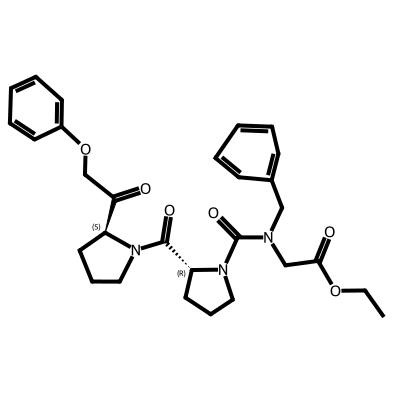 CCOC(=O)CN(Cc1ccccc1)C(=O)N1CCC[C@@H]1C(=O)N1CCC[C@H]1C(=O)COc1ccccc1